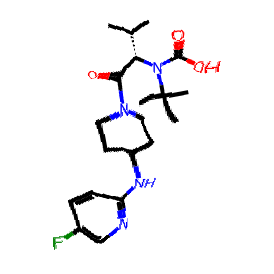 CC(C)[C@@H](C(=O)N1CCC(Nc2ccc(F)cn2)CC1)N(C(=O)O)C(C)(C)C